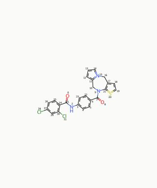 O=C(Nc1ccc(C(=O)N2Cc3cccn3Cc3ccsc32)cc1)c1ccc(Cl)cc1Cl